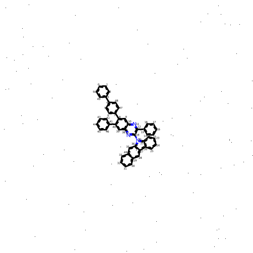 c1ccc(-c2ccc(-c3cc4nc(-c5ccccc5)c(-n5c6ccccc6c6cc7ccccc7cc65)nc4cc3-c3ccccc3)cc2)cc1